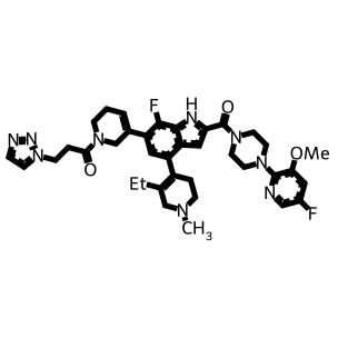 CCC1=C(c2cc(C3=CCCN(C(=O)CCn4ccnn4)C3)c(F)c3[nH]c(C(=O)N4CCN(c5ncc(F)cc5OC)CC4)cc23)CCN(C)C1